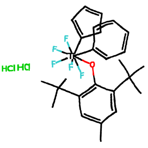 Cc1cc(C(C)(C)C)c([O][Ti]([F])([F])([F])([F])([F])([C]2=CC=CC2)[c]2ccccc2)c(C(C)(C)C)c1.Cl.Cl